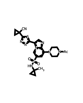 CC(=O)N1CCN(c2cc(S(=O)(=O)NC3(C)CC3)cn3c(-c4nnc(C5(C#N)CC5)s4)cnc23)CC1